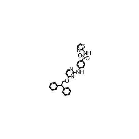 O=S(=O)(Nc1nccs1)c1ccc(Nc2nccc(OCC(c3ccccc3)c3ccccc3)n2)cc1